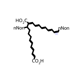 CCCCCCCCC/C=C\C=CC=CC=CC=C(C(=O)O)C(CCCC=CC=CC=CC(=O)O)CCCCCCCCC